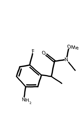 CON(C)C(=O)C(C)c1cc(N)ccc1F